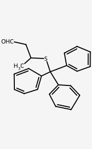 CC(CC=O)SC(c1ccccc1)(c1ccccc1)c1ccccc1